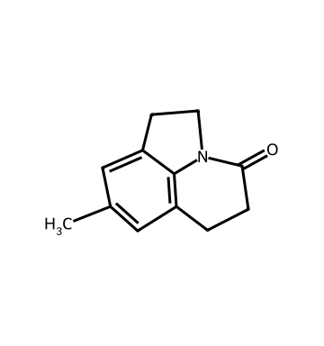 Cc1cc2c3c(c1)CCN3C(=O)CC2